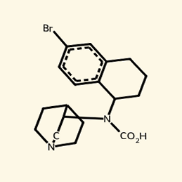 O=C(O)N(C1CCCc2cc(Br)ccc21)C1CN2CCC1CC2